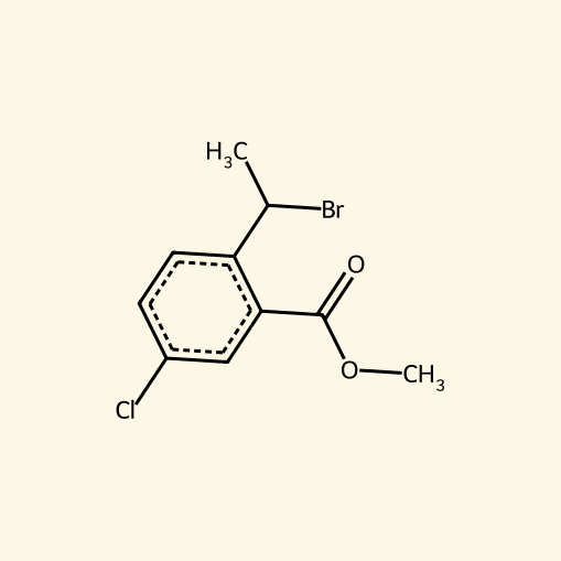 COC(=O)c1cc(Cl)ccc1C(C)Br